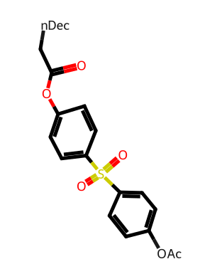 CCCCCCCCCCCC(=O)Oc1ccc(S(=O)(=O)c2ccc(OC(C)=O)cc2)cc1